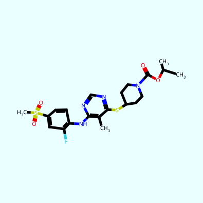 Cc1c(Nc2ccc(S(C)(=O)=O)cc2F)ncnc1SC1CCN(C(=O)OC(C)C)CC1